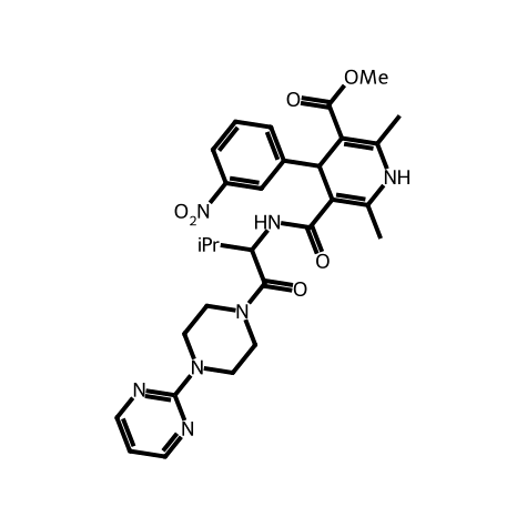 COC(=O)C1=C(C)NC(C)=C(C(=O)NC(C(=O)N2CCN(c3ncccn3)CC2)C(C)C)C1c1cccc([N+](=O)[O-])c1